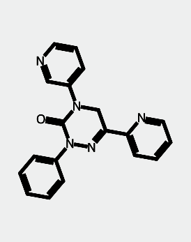 O=C1N(c2cccnc2)CC(c2ccccn2)=NN1c1ccccc1